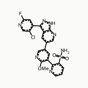 COc1ncc(-c2cnc3[nH]nc(-c4cc(F)ncc4Cl)c3c2)cc1-c1ncccc1S(N)(=O)=O